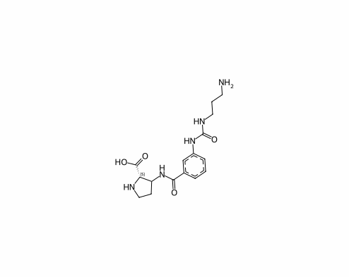 NCCCNC(=O)Nc1cccc(C(=O)NC2CCN[C@@H]2C(=O)O)c1